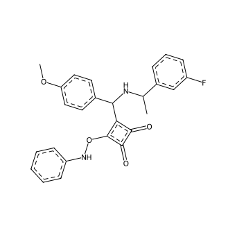 COc1ccc(C(NC(C)c2cccc(F)c2)c2c(ONc3ccccc3)c(=O)c2=O)cc1